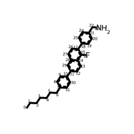 CCCCCCCc1ccc(-c2ccc3c(F)c(-c4ccc(CN)cc4)ccc3c2)cc1